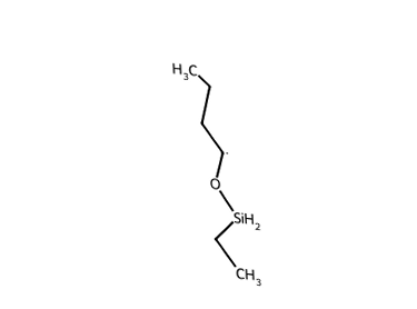 CCC[CH]O[SiH2]CC